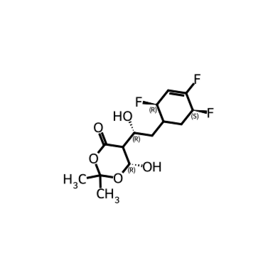 CC1(C)OC(=O)C([C@H](O)CC2C[C@H](F)C(F)=C[C@@H]2F)[C@H](O)O1